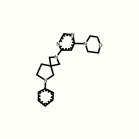 c1ccc(N2CCC3(C2)CN(c2cc(N4CCOCC4)ncn2)C3)cc1